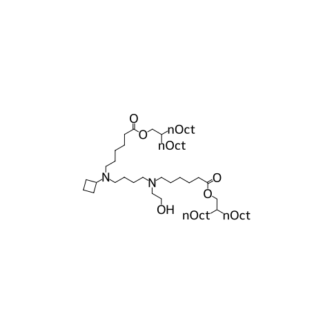 CCCCCCCCC(CCCCCCCC)COC(=O)CCCCCN(CCO)CCCCN(CCCCCC(=O)OCC(CCCCCCCC)CCCCCCCC)C1CCC1